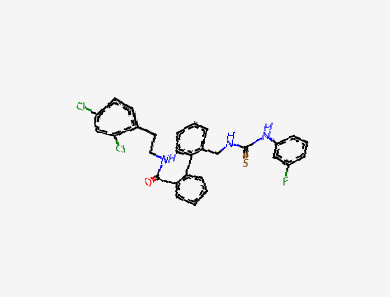 O=C(NCCc1ccc(Cl)cc1Cl)c1ccccc1-c1ccccc1CNC(=S)Nc1cccc(F)c1